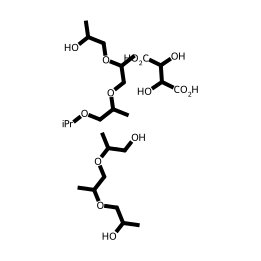 CC(O)COC(C)COC(C)CO.CC(O)COC(C)COC(C)COC(C)C.O=C(O)C(O)C(O)C(=O)O